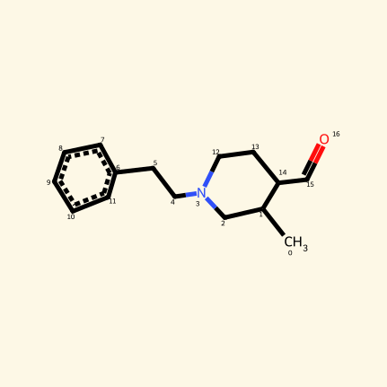 CC1CN(CCc2ccccc2)CCC1C=O